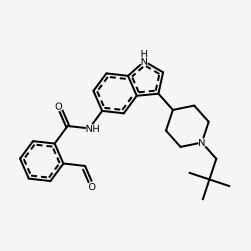 CC(C)(C)CN1CCC(c2c[nH]c3ccc(NC(=O)c4ccccc4C=O)cc23)CC1